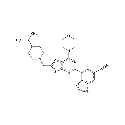 CC(C)N1CCN(Cc2cc3c(N4CCOCC4)nc(-c4cc(C#N)cc5[nH]ccc45)nc3s2)CC1